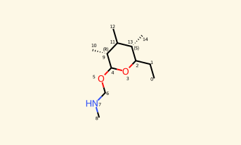 CCC1OC(OCNC)[C@H](C)C(C)[C@@H]1C